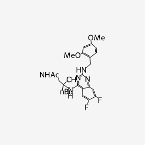 CCCC[C@](C)(CNC(C)=O)Nc1nc(NCc2ccc(OC)cc2OC)nc2cc(F)c(F)cc12